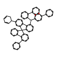 C1=CCC(c2ccc3c(c2)C2(c4ccccc4-c4c(-c5ccccc5)cccc42)c2cccc(N(c4ccc(-c5ccccc5)cc4)c4ccccc4-c4ccccc4)c2-3)C=C1